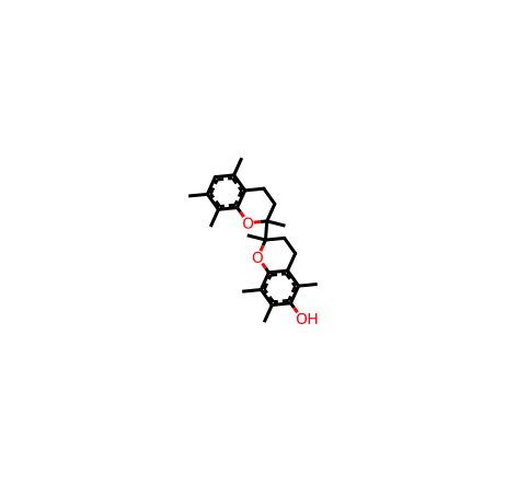 Cc1cc(C)c2c(c1C)OC(C)(C1(C)CCc3c(C)c(O)c(C)c(C)c3O1)CC2